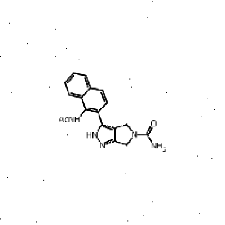 CC(=O)Nc1c(-c2[nH]nc3c2CN(C(N)=O)C3)ccc2ccccc12